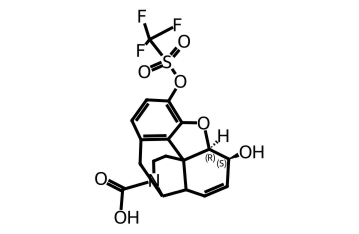 O=C(O)N1CCC23c4c5ccc(OS(=O)(=O)C(F)(F)F)c4O[C@H]2[C@@H](O)C=CC3C1C5